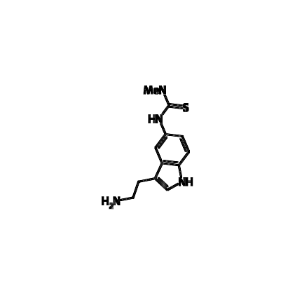 CNC(=S)Nc1ccc2[nH]cc(CCN)c2c1